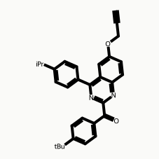 C#CCOc1ccc2nc(C(=O)c3ccc(C(C)(C)C)cc3)nc(-c3ccc(C(C)C)cc3)c2c1